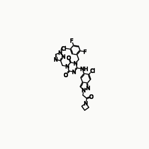 Cn1cnc(Cn2c(=O)nc(Nc3cc4cn(CC(=O)N5CCC5)nc4cc3Cl)n(Cc3cc(Cl)c(F)cc3F)c2=O)n1